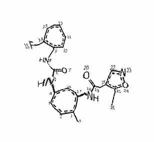 Cc1ccc(NC(=O)Nc2ccccc2F)cc1NC(=O)c1cnoc1C